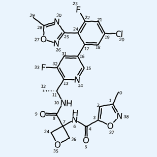 Cc1cc(C(=O)NC2(C(=O)N[C@H](C)c3ncc(-c4cc(Cl)cc(F)c4-c4noc(C)n4)cc3F)COC2)on1